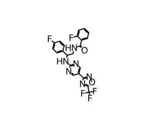 O=C(NCC(Nc1ncc(-c2noc(C(F)(F)F)n2)cn1)c1ccc(F)cc1)c1ccccc1F